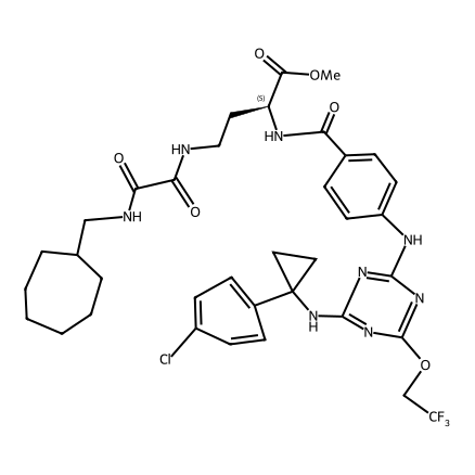 COC(=O)[C@H](CCNC(=O)C(=O)NCC1CCCCCC1)NC(=O)c1ccc(Nc2nc(NC3(c4ccc(Cl)cc4)CC3)nc(OCC(F)(F)F)n2)cc1